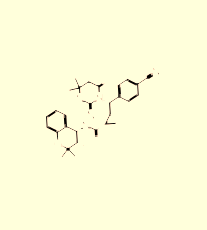 CC1(C)CC(=O)N([C@H](c2ccc(C#N)cc2)[C@@H]2C[C@H]2C(=O)N[C@@H]2c3ccccc3OC(C)(C)[C@H]2O)C(=N)N1